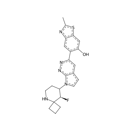 Cc1nc2cc(-c3cc4ccn(C5CCNC6(CCC6)[C@@H]5F)c4nn3)c(O)cc2s1